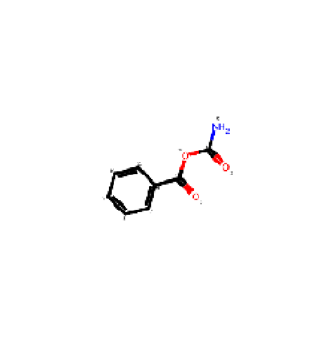 NC(=O)OC(=O)c1ccccc1